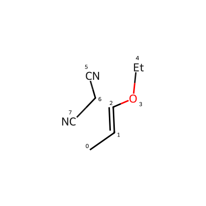 CC=COCC.N#CCC#N